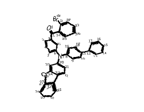 O=C(c1cccc(N(c2ccc(-c3ccccc3)cc2)c2ccc3c(c2)oc2ccccc23)c1)c1ccccc1Br